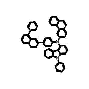 c1ccc(-c2cccc3ccc(-c4ccc(N(c5ccc6ccc7ccccc7c6c5)c5cccc6c5c5ccccc5n6-c5ccccc5)cc4)cc23)cc1